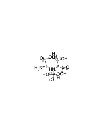 CC(O)C(NP(=O)(O)O)C(=O)O.NCC(=O)O